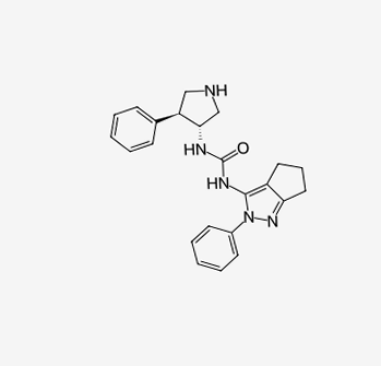 O=C(Nc1c2c(nn1-c1ccccc1)CCC2)N[C@H]1CNC[C@@H]1c1ccccc1